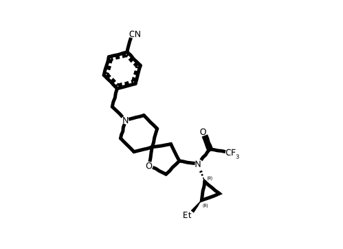 CC[C@@H]1C[C@H]1N(C(=O)C(F)(F)F)C1COC2(CCN(Cc3ccc(C#N)cc3)CC2)C1